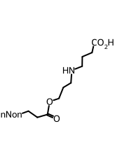 CCCCCCCCCCCC(=O)OCCCNCCCC(=O)O